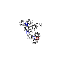 N#Cc1ccc(-c2cc(-c3cccc(N4c5ccccc5Oc5ccccc54)c3)nc3ccc(N(c4ccccc4)c4ccccc4)cc23)cc1